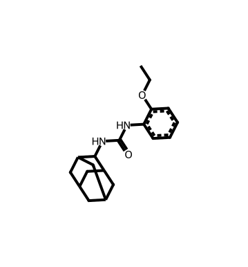 CCOc1ccccc1NC(=O)NC1C2CC3CC(C2)CC1C3